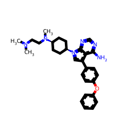 CN(C)CCN(C)[C@H]1CC[C@@H](n2cc(-c3ccc(Oc4ccccc4)cc3)c3c(N)ncnc32)CC1